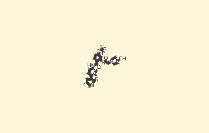 CN1CCN(CC(=O)Nc2cc(OC(F)(F)F)ccc2C(=O)Nc2ccc(-c3cccnc3F)nn2)CC1